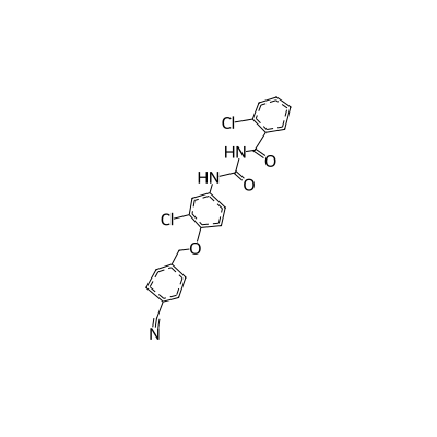 N#Cc1ccc(COc2ccc(NC(=O)NC(=O)c3ccccc3Cl)cc2Cl)cc1